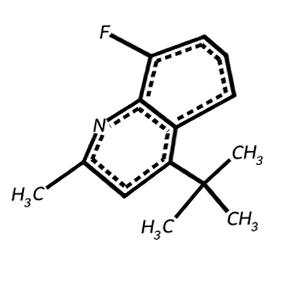 Cc1cc(C(C)(C)C)c2cccc(F)c2n1